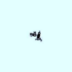 C=O.Cl.[Hg]